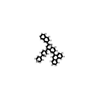 c1ccc2cc(-c3cc(-c4ccc(-c5ccncc5)nc4)c4cc(-c5cc6ccccc6c6ccccc56)ccc4n3)ccc2c1